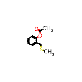 CSCc1ccccc1OC(C)=O